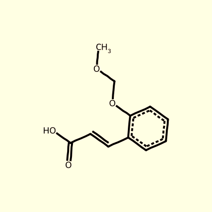 COCOc1ccccc1C=CC(=O)O